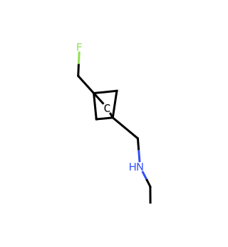 CCNCC12CC(CF)(C1)C2